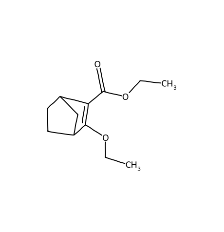 CCOC(=O)C1=C(OCC)C2CCC1C2